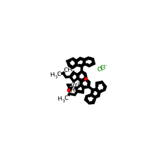 CC(C)CC1=Cc2c(-c3c4ccccc4cc4ccccc34)cccc2[CH]1[Zr+2]1([CH]2C(CC(C)C)=Cc3c(-c4c5ccccc5cc5ccccc45)cccc32)[CH2][CH2]1.[Cl-].[Cl-]